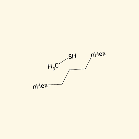 CCCCCCCCCCCCCCC.CS